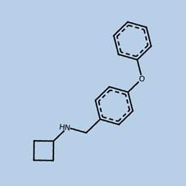 c1ccc(Oc2ccc(CNC3CCC3)cc2)cc1